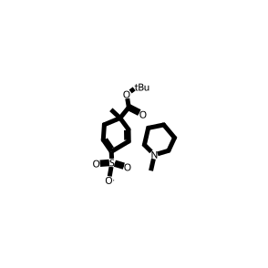 CC(C)(C)OC(=O)C1(C)C=CC(S([O])(=O)=O)=CC1.CN1CCCCC1